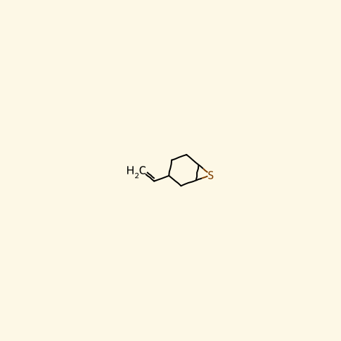 C=CC1CCC2SC2C1